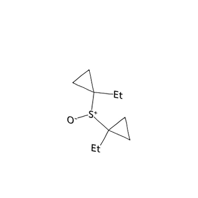 CCC1([S+]([O-])C2(CC)CC2)CC1